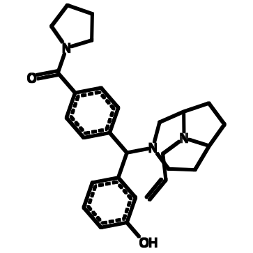 C=CCN1C2CCC1CN(C(c1ccc(C(=O)N3CCCC3)cc1)c1cccc(O)c1)CC2